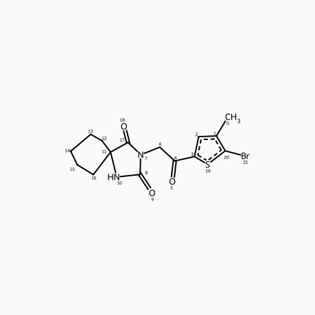 Cc1cc(C(=O)CN2C(=O)NC3(CCCCC3)C2=O)sc1Br